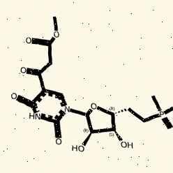 C=P(C)(C)CC[C@H]1OC(n2cc(C(=O)CC(=O)OC)c(=O)[nH]c2=O)[C@H](O)[C@@H]1O